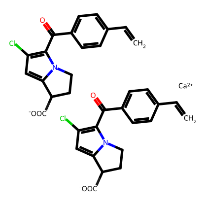 C=Cc1ccc(C(=O)c2c(Cl)cc3n2CCC3C(=O)[O-])cc1.C=Cc1ccc(C(=O)c2c(Cl)cc3n2CCC3C(=O)[O-])cc1.[Ca+2]